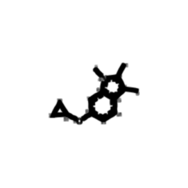 Cc1c(C)n(C)c2cc(OC3CC3)ccc12